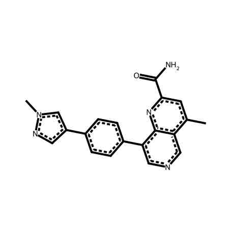 Cc1cc(C(N)=O)nc2c(-c3ccc(-c4cnn(C)c4)cc3)cncc12